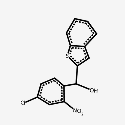 O=[N+]([O-])c1cc(Cl)ccc1C(O)c1cc2ccccc2s1